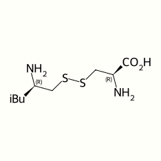 CCC(C)[C@@H](N)CSSC[C@H](N)C(=O)O